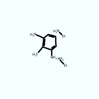 CCN.CCN.Cc1c(N)cccc1N